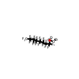 O=S(=O)(OCl)C(F)(F)C(F)(F)C(F)(F)C(F)(F)C(F)(F)C(F)(F)C(F)(F)C(F)(F)F